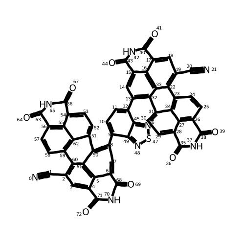 N#Cc1cc2c3c(cc(-c4ccc(-c5cc6c7c(cc(C#N)c8c9ccc%10c%11c(ccc(c5c78)c%119)C(=O)NC%10=O)C(=O)NC6=O)c5nsnc45)c4c5ccc6c7c(ccc(c1c34)c75)C(=O)NC6=O)C(=O)NC2=O